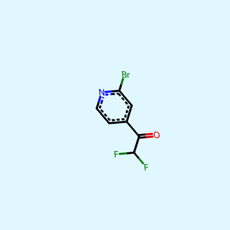 O=C(c1ccnc(Br)c1)C(F)F